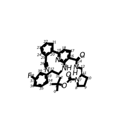 CC(C)(C)OC(=O)N1CCC[C@@H]1CNC(=O)c1ccc(-c2ccccc2C#N)nc1NCCc1cccc(F)c1